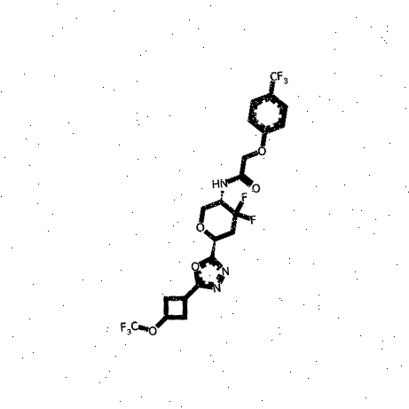 O=C(COc1ccc(C(F)(F)F)cc1)N[C@H]1CO[C@H](c2nnc(C3CC(OC(F)(F)F)C3)o2)CC1(F)F